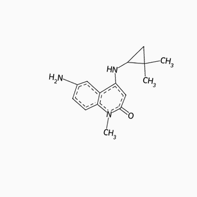 Cn1c(=O)cc(NC2CC2(C)C)c2cc(N)ccc21